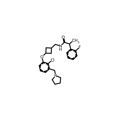 CC(C(=O)NCC1CC(Oc2cccc(CN3CCCC3)c2Cl)C1)c1ccccc1F